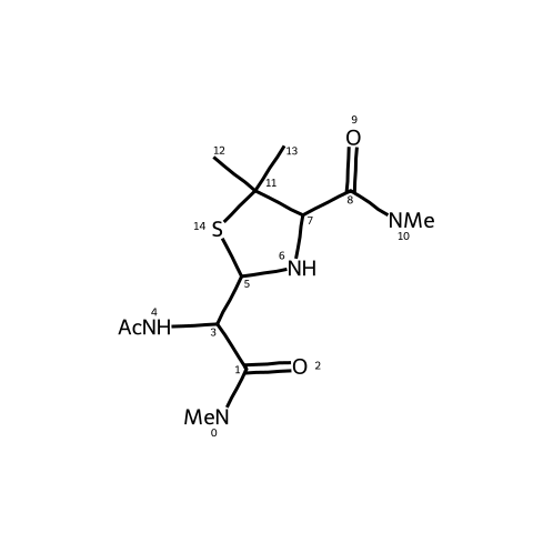 CNC(=O)C(NC(C)=O)C1NC(C(=O)NC)C(C)(C)S1